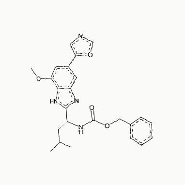 COc1cc(-c2cnco2)cc2nc([C@@H](CC(C)C)NC(=O)OCc3ccccc3)[nH]c12